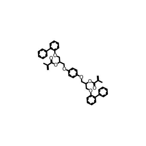 C=C(C)C(=O)OC(COc1ccc(OCC(COc2ccccc2-c2ccccc2)OC(=O)C(=C)C)cc1)COc1ccccc1-c1ccccc1